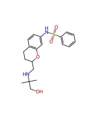 CC(C)(CO)NCC1CCc2ccc(NS(=O)(=O)c3ccccc3)cc2O1